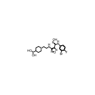 O/N=C(\Nc1ccc(F)c(Br)c1)c1nonc1NCCN1CCC(B(O)O)CC1